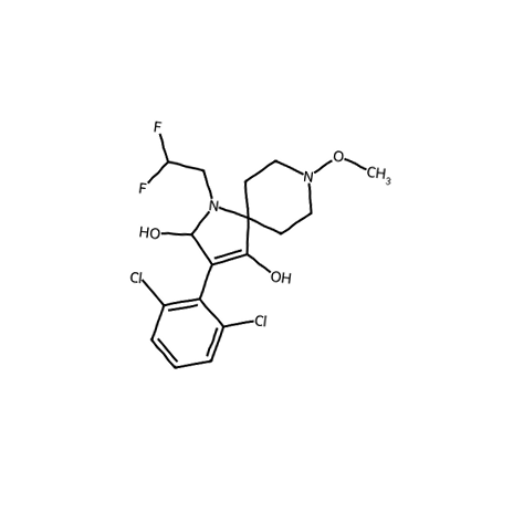 CON1CCC2(CC1)C(O)=C(c1c(Cl)cccc1Cl)C(O)N2CC(F)F